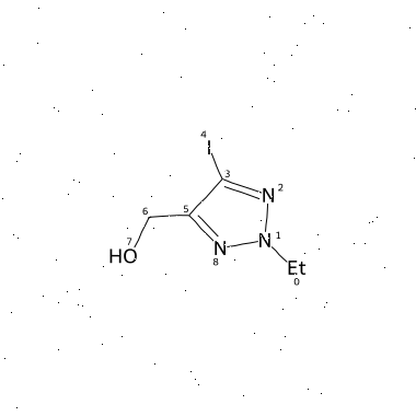 CCn1nc(I)c(CO)n1